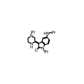 CC(C)Nc1ccc2c(c1)/C(=C1\CN(C(C)C)CCN1)C(=O)N2C(C)C